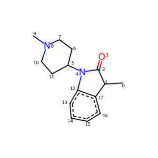 CC1C(=O)N(C2CCN(C)CC2)c2ccccc21